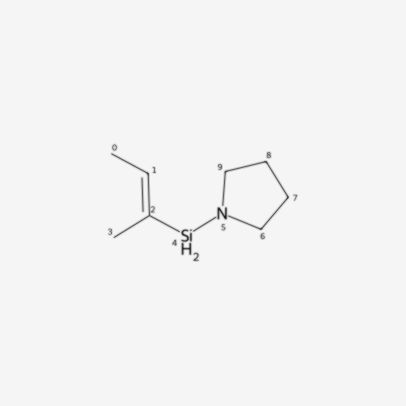 CC=C(C)[SiH2]N1CCCC1